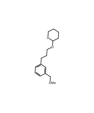 COCc1cccc(CCCOC2CCCCO2)c1